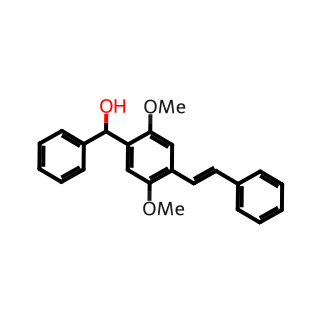 COc1cc(C(O)c2ccccc2)c(OC)cc1/C=C/c1ccccc1